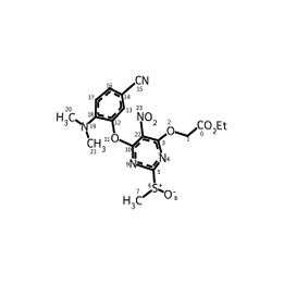 CCOC(=O)COc1nc([S+](C)[O-])nc(Oc2cc(C#N)ccc2N(C)C)c1[N+](=O)[O-]